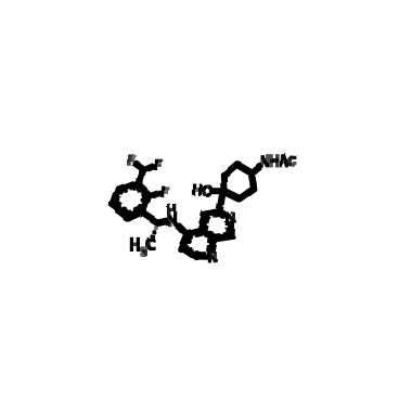 CC(=O)NC1CCC(O)(c2cc3c(N[C@H](C)c4cccc(C(F)F)c4F)ccnc3cn2)CC1